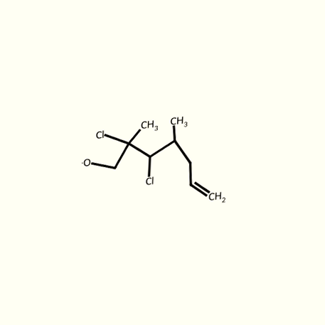 C=CCC(C)C(Cl)C(C)(Cl)C[O]